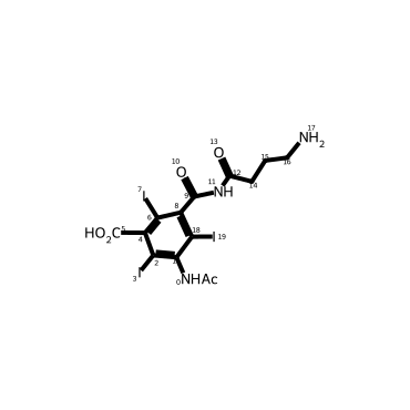 CC(=O)Nc1c(I)c(C(=O)O)c(I)c(C(=O)NC(=O)CCCN)c1I